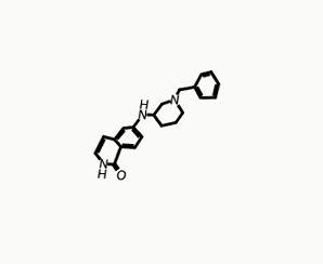 O=c1[nH]ccc2cc(NC3CCCN(Cc4ccccc4)C3)ccc12